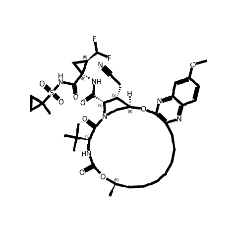 COc1ccc2nc3c(nc2c1)O[C@H]1CN(C(=O)[C@H](C(C)(C)C)NC(=O)O[C@H](C)CCCCCCC3)[C@H](C(=O)N[C@]2(C(=O)NS(=O)(=O)C3(C)CC3)C[C@H]2C(F)F)[C@@H]1CC#N